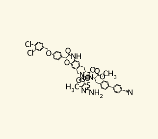 COC(=O)C(Cc1ccc(-c2ccc(C#N)cc2)cc1)NC(=O)[C@@H]1Cc2cc3c(cc2CN1S(=O)(=O)c1sc(N)nc1C)O[C@@H](c1ccc(OCc2ccc(Cl)c(Cl)c2)cc1)C(=O)N3